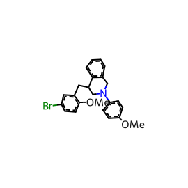 COc1ccc(N2Cc3ccccc3C(Cc3cc(Br)ccc3OC)C2)cc1